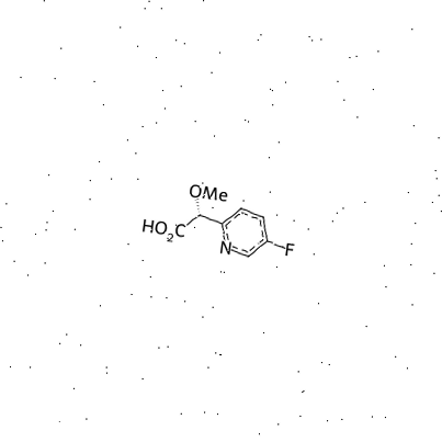 CO[C@@H](C(=O)O)c1ccc(F)cn1